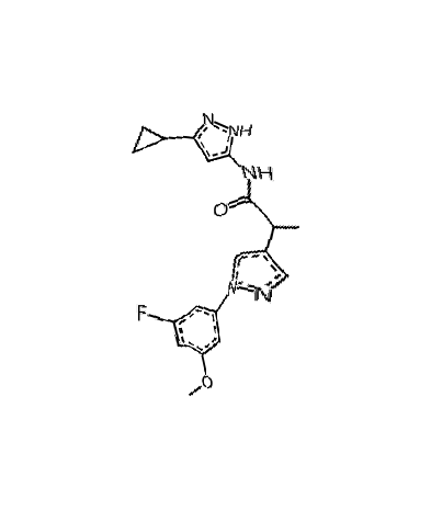 COc1cc(F)cc(-n2cc(C(C)C(=O)Nc3cc(C4CC4)n[nH]3)cn2)c1